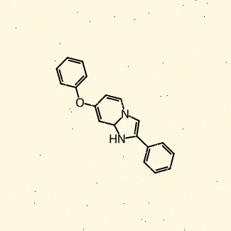 C1=CN2C=C(c3ccccc3)NC2C=C1Oc1ccccc1